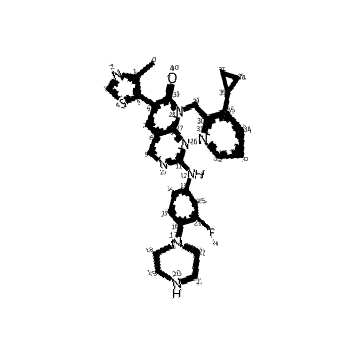 Cc1ncsc1-c1cc2cnc(Nc3ccc(N4CCNCC4)c(F)c3)nc2n(Cc2ncccc2C2CC2)c1=O